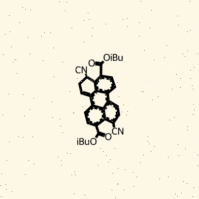 CC(C)COC(=O)c1ccc2c3c1[C@H](C#N)CC=c3c1ccc(C(=O)OCC(C)C)c3c(C#N)ccc2c31